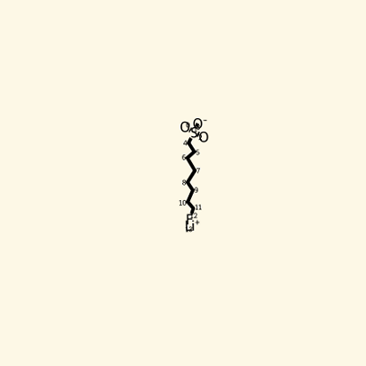 O=S(=O)([O-])CCCCCCCCF.[Li+]